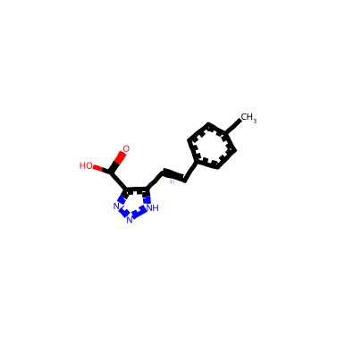 Cc1ccc(/C=C/c2[nH]nnc2C(=O)O)cc1